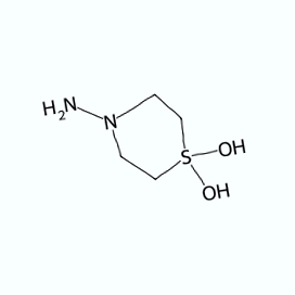 NN1CCS(O)(O)CC1